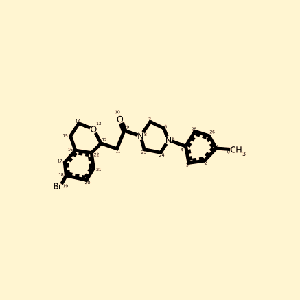 Cc1ccc(N2CCN(C(=O)CC3OCCc4cc(Br)ccc43)CC2)cc1